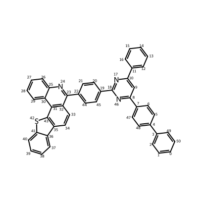 c1ccc(-c2ccc(-c3cc(-c4ccccc4)nc(-c4ccc(-c5nc6ccccc6c6c5ccc5c7ccccc7sc56)cc4)n3)cc2)cc1